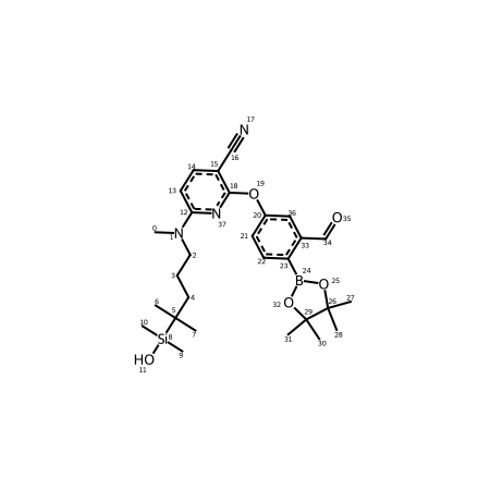 CN(CCCC(C)(C)[Si](C)(C)O)c1ccc(C#N)c(Oc2ccc(B3OC(C)(C)C(C)(C)O3)c(C=O)c2)n1